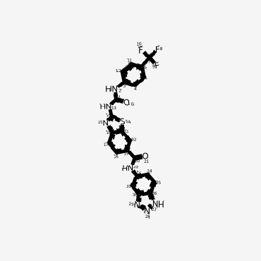 O=C(Nc1ccc(C(F)(F)F)cc1)Nc1nc2ccc(C(=O)Nc3ccc4[nH]nnc4c3)cc2s1